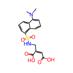 CN(C)c1cccc2c(S(=O)(=O)NC/C(=C/C(=O)O)C(=O)O)cccc12